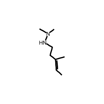 C/C=C(\C)CCNN(C)C